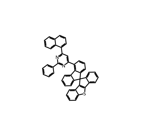 c1ccc(-c2nc(-c3cccc4c3-c3ccccc3C43c4ccccc4-c4sc5ccccc5c43)cc(-c3cccc4ccccc34)n2)cc1